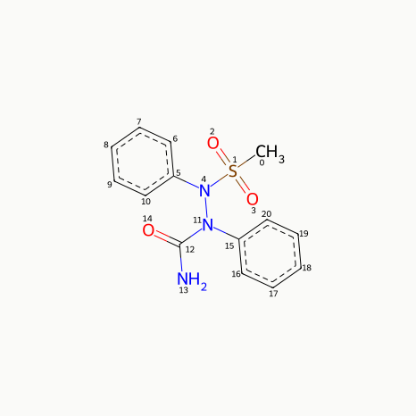 CS(=O)(=O)N(c1ccccc1)N(C(N)=O)c1ccccc1